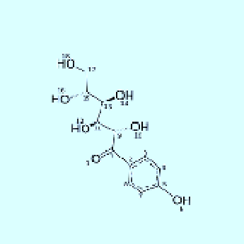 O=C(c1ccc(O)cc1)[C@@H](O)[C@@H](O)[C@H](O)[C@H](O)CO